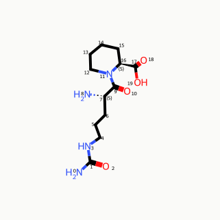 NC(=O)NCCC[C@H](N)C(=O)N1CCCC[C@H]1C(=O)O